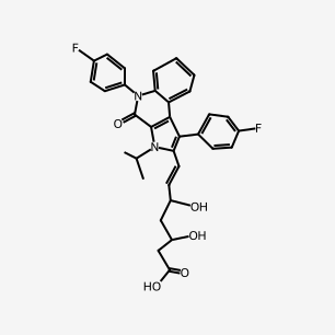 CC(C)n1c(C=CC(O)CC(O)CC(=O)O)c(-c2ccc(F)cc2)c2c3ccccc3n(-c3ccc(F)cc3)c(=O)c21